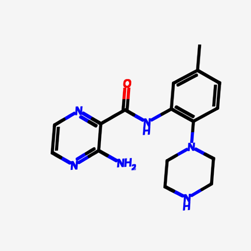 Cc1ccc(N2CCNCC2)c(NC(=O)c2nccnc2N)c1